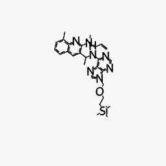 C=CCN(C)c1nc2c(C)cccc2cc1C(C)Nc1ncnc2c1ncn2COCC[Si](C)(C)C